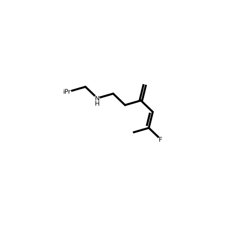 C=C(/C=C(\C)F)CCNCC(C)C